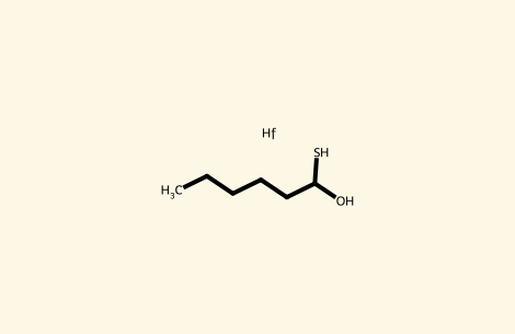 CCCCCC(O)S.[Hf]